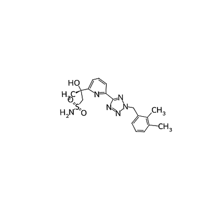 Cc1cccc(Cn2nnc(-c3cccc([C@@](C)(O)CS(N)(=O)=O)n3)n2)c1C